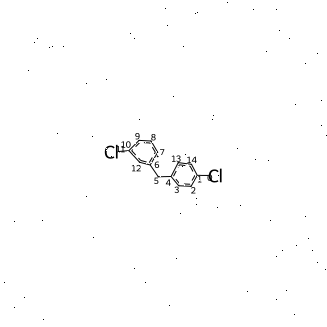 Clc1ccc(Cc2[c]ccc(Cl)c2)cc1